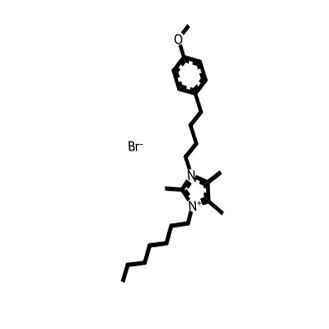 CCCCCCC[n+]1c(C)c(C)n(CCCCc2ccc(OC)cc2)c1C.[Br-]